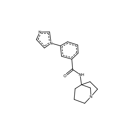 O=C(NC12CCCN(CC1)C2)c1cccc(-n2ccnc2)c1